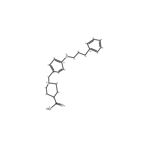 O=C(O)C1CCN(Cc2ccc(OCCCc3ccccc3)cc2)CC1